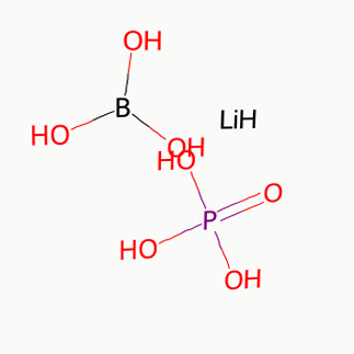 O=P(O)(O)O.OB(O)O.[LiH]